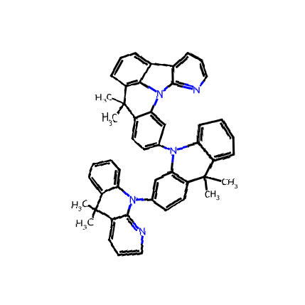 CC1(C)c2ccccc2N(c2ccc3c(c2)-n2c4ncccc4c4cccc(c42)C3(C)C)c2cc(N3c4ccccc4C(C)(C)c4cccnc43)ccc21